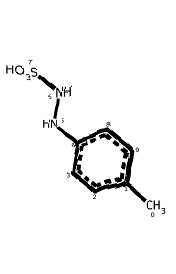 Cc1ccc(NNS(=O)(=O)O)cc1